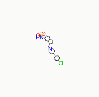 CS(=O)(=O)Nc1ccc2c(c1)C(CN1CCC(c3ccc(Cl)cc3)CC1)CC2